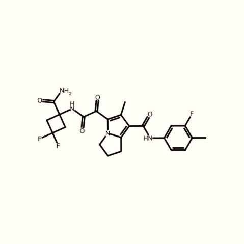 Cc1ccc(NC(=O)c2c(C)c(C(=O)C(=O)NC3(C(N)=O)CC(F)(F)C3)n3c2CCC3)cc1F